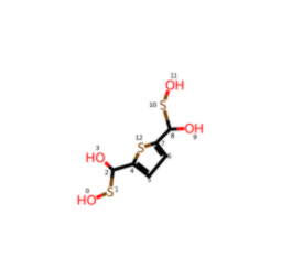 OSC(O)c1ccc(C(O)SO)s1